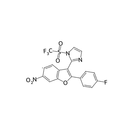 O=[N+]([O-])c1[c]cc2c(-c3nccn3S(=O)(=O)C(F)(F)F)c(-c3ccc(F)cc3)oc2c1